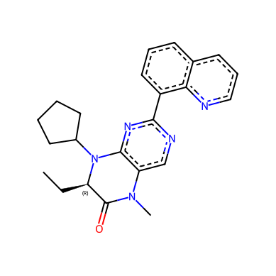 CC[C@@H]1C(=O)N(C)c2cnc(-c3cccc4cccnc34)nc2N1C1CCCC1